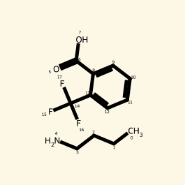 CCCCN.O=C(O)c1ccccc1C(F)(F)F